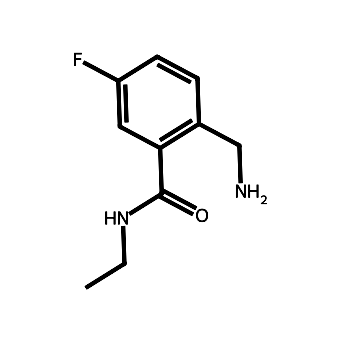 CCNC(=O)c1cc(F)ccc1CN